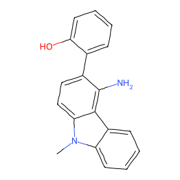 Cn1c2ccccc2c2c(N)c(-c3ccccc3O)ccc21